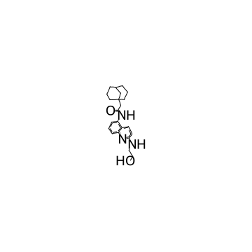 O=C(CC12CCCC(CCC1)C2)Nc1cccc2nc(NCCO)ccc12